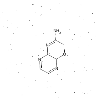 NC1=NC2N=CC=NC2OC1